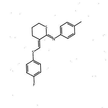 Cc1ccc(N=C2SCCC/C2=C\Sc2ccc(F)cc2)cc1